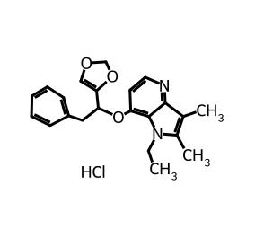 CCn1c(C)c(C)c2nccc(OC(Cc3ccccc3)C3=COCO3)c21.Cl